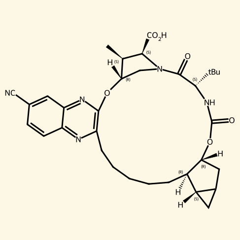 C[C@@H]1[C@@H]2CN(C(=O)[C@H](C(C)(C)C)NC(=O)O[C@@H]3CC4C[C@@H]4[C@H]3CCCCCc3nc4ccc(C#N)cc4nc3O2)[C@@H]1C(=O)O